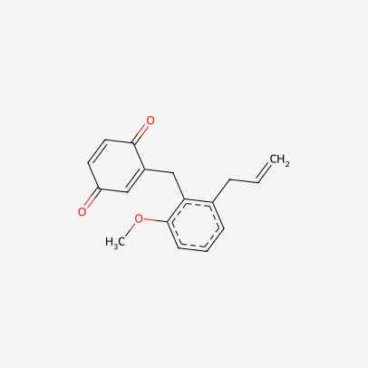 C=CCc1cccc(OC)c1CC1=CC(=O)C=CC1=O